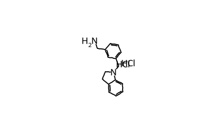 Cl.Cl.NCc1cccc(CN2CCc3ccccc32)c1